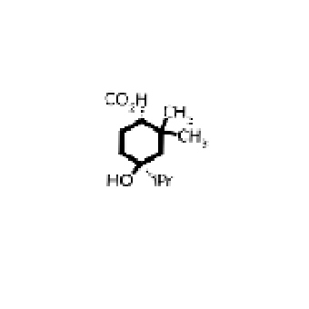 CC(C)[C@]1(O)CC[C@H](C(=O)O)C(C)(C)C1